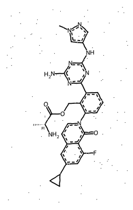 C[C@@H](N)C(=O)OCc1c(-c2nc(N)nc(Nc3cnn(C)c3)n2)cccc1-n1ccc2cc(C3CC3)cc(F)c2c1=O